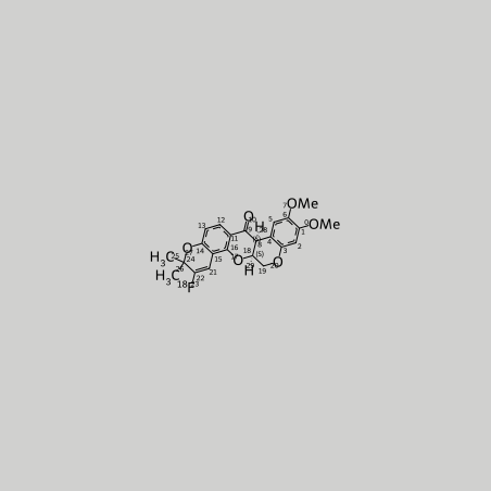 COc1cc2c(cc1OC)[C@@H]1C(=O)c3ccc4c(c3O[C@@H]1CO2)C=C([18F])C(C)(C)O4